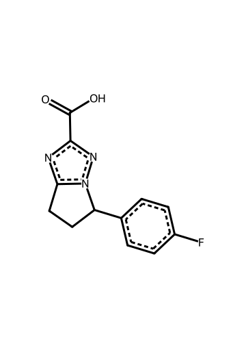 O=C(O)c1nc2n(n1)C(c1ccc(F)cc1)CC2